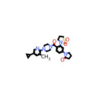 Cc1cc(C2CC2)cnc1N1CCN(C(=O)c2ccc(N3CCCC3=O)cc2N2CCCS2(=O)=O)CC1